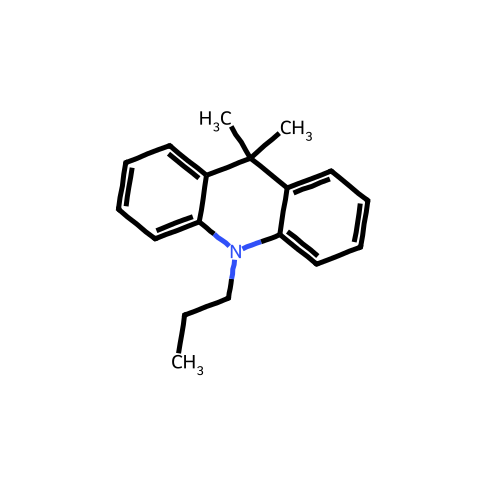 CCCN1c2ccccc2C(C)(C)c2ccccc21